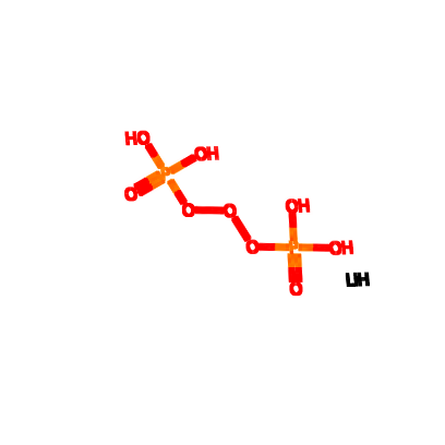 O=P(O)(O)OOOP(=O)(O)O.[LiH]